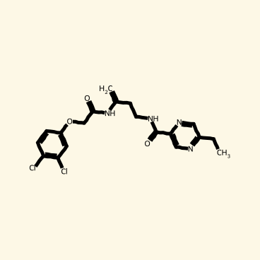 C=C(CCNC(=O)c1cnc(CC)cn1)NC(=O)COc1ccc(Cl)c(Cl)c1